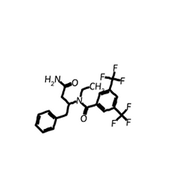 CCN(C(=O)c1cc(C(F)(F)F)cc(C(F)(F)F)c1)C(CC(N)=O)Cc1ccccc1